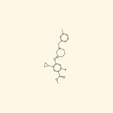 COC(=O)c1cc(C2CC2)c(O[C@@H]2CCCN(Cc3cccc(C)c3)C2)cc1F